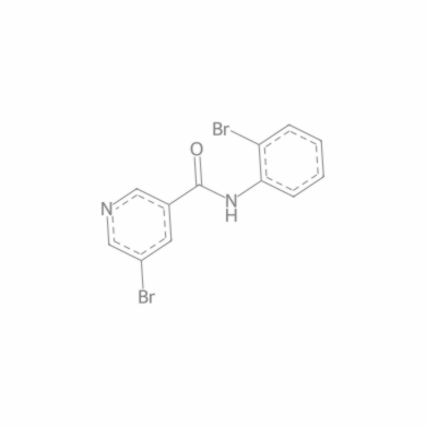 O=C(Nc1ccccc1Br)c1cncc(Br)c1